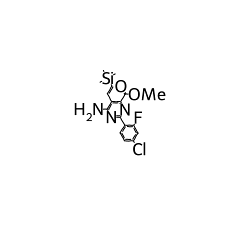 COC(=O)c1nc(-c2ccc(Cl)cc2F)nc(N)c1C=C[Si](C)(C)C